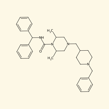 CC1CN(CC2CCN(Cc3ccccc3)CC2)CC(C)N1C(=O)NC(c1ccccc1)c1ccccc1